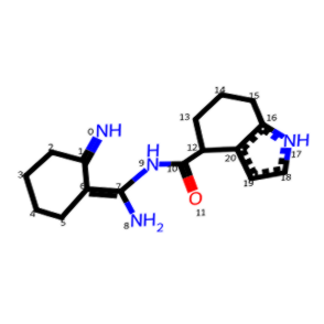 N=C1CCCC/C1=C(\N)NC(=O)C1CCCc2[nH]ccc21